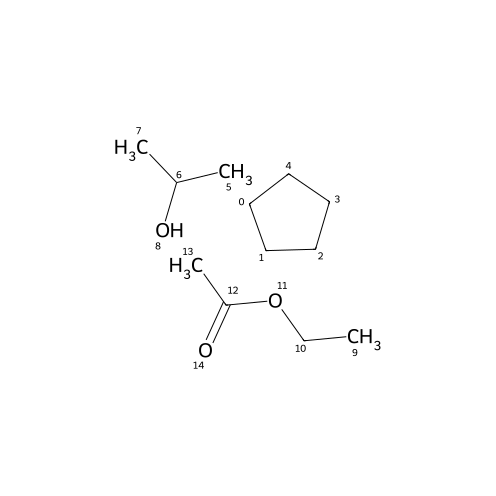 C1CCCC1.CC(C)O.CCOC(C)=O